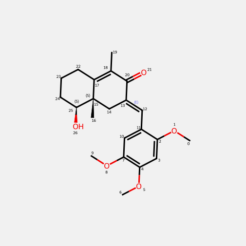 COc1cc(OC)c(OC)cc1/C=C1\C[C@@]2(C)C(=C(C)C1=O)CCC[C@@H]2O